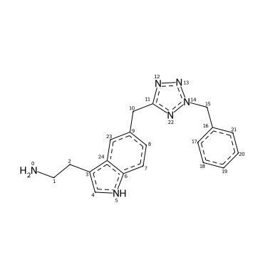 NCCc1c[nH]c2ccc(Cc3nnn(Cc4ccccc4)n3)cc12